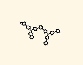 c1ccc(-c2ccc(N(c3ccc(-c4ccccc4)cc3)c3ccc(-c4cccc(-c5ccc(N(c6ccc(-c7ccc8c(c7)CC8)cc6)c6ccc7ccccc7c6)cc5)c4)cc3)cc2)cc1